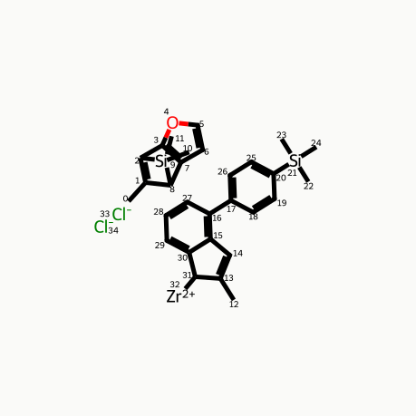 CC1=C2c3occc3C1[Si]2(C)C.CC1=Cc2c(-c3ccc([Si](C)(C)C)cc3)cccc2[CH]1[Zr+2].[Cl-].[Cl-]